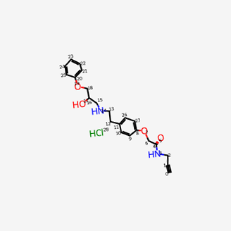 C#CCNC(=O)COc1ccc(CCNCC(O)COc2ccccc2)cc1.Cl